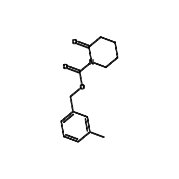 Cc1cccc(COC(=O)N2CCCCC2=O)c1